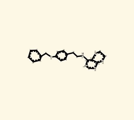 c1ccc(COc2ccc(CCNc3ncnc4nccnc34)cc2)cc1